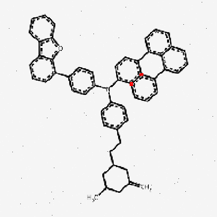 C=C1CC(C)CC(CCc2ccc(N(c3ccc(-c4cccc5c4oc4ccccc45)cc3)c3ccc(-c4cccc5cccc(-c6ccccc6)c45)cc3)cc2)C1